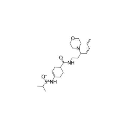 C=C/C=C\C(CCNC(=O)C1CC=C(N[S+]([O-])C(C)C)CC1)N1CCOCC1